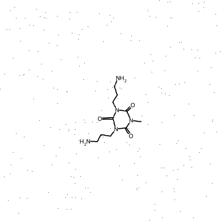 Cn1c(=O)n(CCCN)c(=O)n(CCCN)c1=O